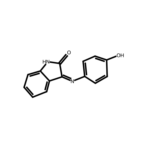 O=C1Nc2ccccc2C1=Nc1ccc(O)cc1